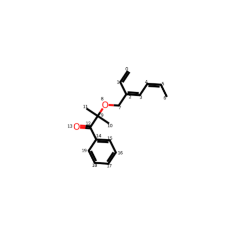 C=C/C(=C\C=C/C)COC(C)(C)C(=O)c1ccccc1